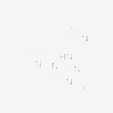 C=Cc1nc(NCc2csc(C)n2)c2c(ccn2Cc2ccccn2)n1